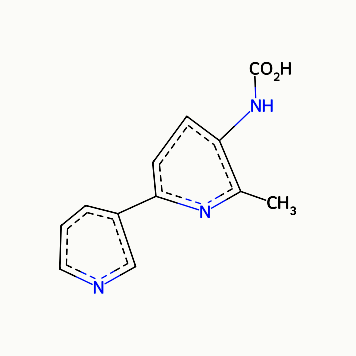 Cc1nc(-c2cccnc2)ccc1NC(=O)O